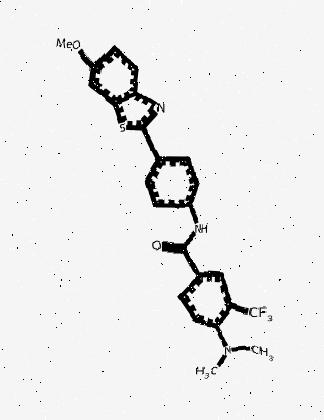 COc1ccc2nc(-c3ccc(NC(=O)c4ccc(N(C)C)c(C(F)(F)F)c4)cc3)sc2c1